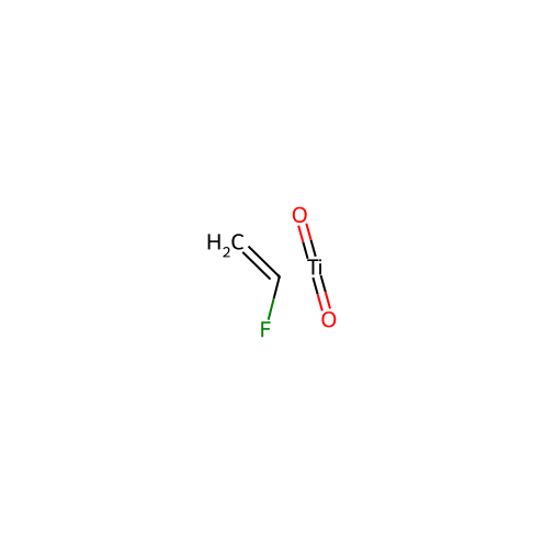 C=CF.[O]=[Ti]=[O]